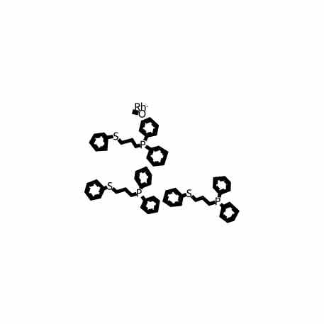 C=O.[Rh].c1ccc(SCCCP(c2ccccc2)c2ccccc2)cc1.c1ccc(SCCCP(c2ccccc2)c2ccccc2)cc1.c1ccc(SCCCP(c2ccccc2)c2ccccc2)cc1